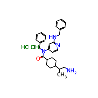 CC(CN)C1CCC(C(=O)N(Cc2ccccc2)c2ccnc(NCc3ccccc3)c2)CC1.Cl.Cl